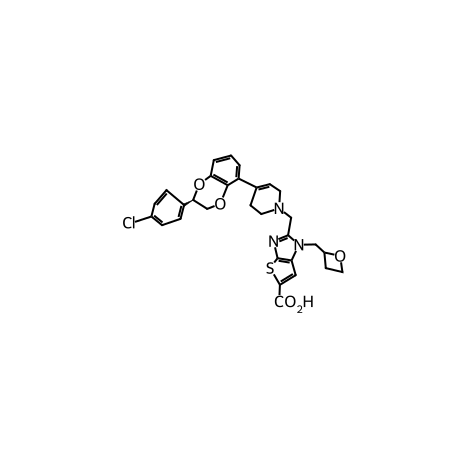 O=C(O)c1cc2c(nc(CN3CC=C(c4cccc5c4OC[C@@H](c4ccc(Cl)cc4)O5)CC3)n2CC2CCO2)s1